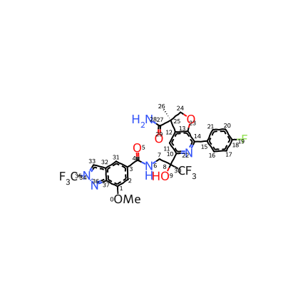 COc1cc(C(=O)NCC(O)(c2cc3c(c(-c4ccc(F)cc4)n2)OC[C@]3(C)C(N)=O)C(F)(F)F)cc2cn(C(F)(F)F)nc12